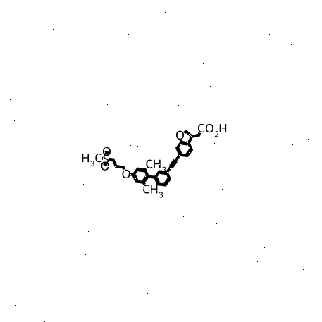 Cc1cc(OCCCS(C)(=O)=O)cc(C)c1-c1cccc(C#Cc2ccc3c(c2)OCC3CC(=O)O)c1